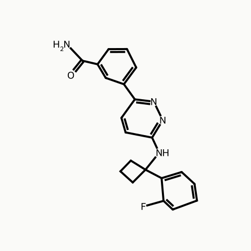 NC(=O)c1cccc(-c2ccc(NC3(c4ccccc4F)CCC3)nn2)c1